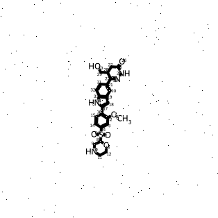 COc1cc(S(=O)(=O)C2CNCCO2)ccc1-c1cc2cc(C3=NNC(=O)CC3CO)ccc2[nH]1